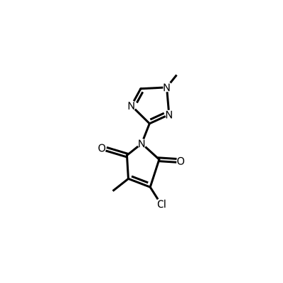 CC1=C(Cl)C(=O)N(c2ncn(C)n2)C1=O